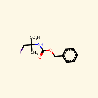 CC(CI)(NC(=O)OCc1ccccc1)C(=O)O